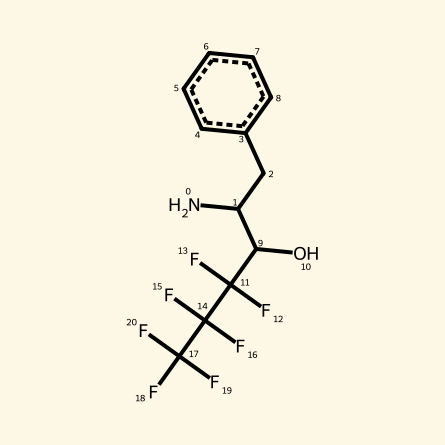 NC(Cc1ccccc1)C(O)C(F)(F)C(F)(F)C(F)(F)F